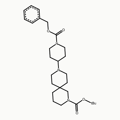 CC(C)(C)OC(=O)N1CCCC2(CCN(C3CCN(C(=O)OCc4ccccc4)CC3)CC2)C1